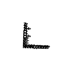 [Cr+3].[Cr+3].[Cr+3].[Cr].[Cr].[Cr].[N-3].[N-3].[N-3].[N-3].[N-3].[N-3].[N-3].[Zr+4].[Zr+4].[Zr+4].[Zr].[Zr].[Zr]